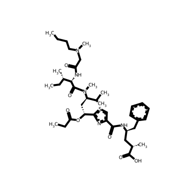 CCCCN(C)CC(=O)N[C@H](C(=O)N(C)[C@H](C[C@@H](OC(=O)CC)c1nc(C(=O)N[C@@H](Cc2ccccc2)C[C@H](C)C(=O)O)cs1)C(C)C)[C@@H](C)CC